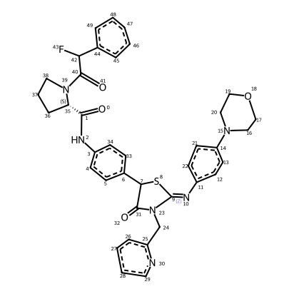 O=C(Nc1ccc(C2S/C(=N\c3ccc(N4CCOCC4)cc3)N(Cc3ccccn3)C2=O)cc1)[C@@H]1CCCN1C(=O)C(F)c1ccccc1